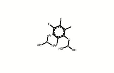 CCCN(CCC)CCC.OB(O)Oc1c(F)cc(F)c(F)c1F